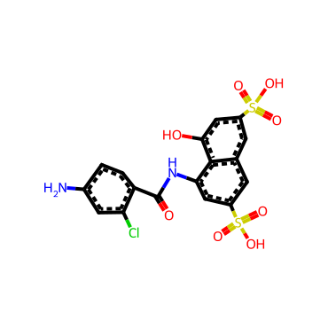 Nc1ccc(C(=O)Nc2cc(S(=O)(=O)O)cc3cc(S(=O)(=O)O)cc(O)c23)c(Cl)c1